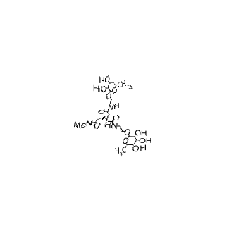 CNC(=O)CN(CC(=O)NCCO[C@@H]1O[C@@H](C)[C@@H](O)[C@@H](O)[C@@H]1O)CC(=O)NCCO[C@@H]1O[C@@H](C)C[C@@H](O)[C@@H]1O